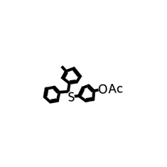 CC(=O)Oc1ccc(SC(c2ccccc2)c2cccc(C)c2)cc1